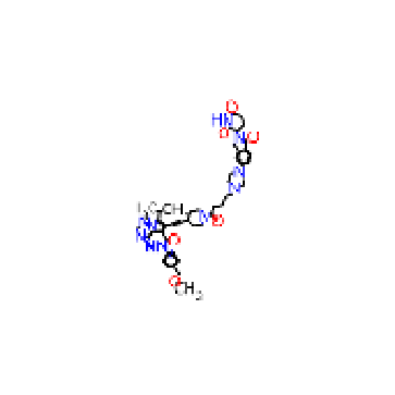 COCc1ccc(NC(=O)c2c(C#CC3CCN(C(=O)CCCCN4CCN(c5ccc6c(c5)CN(C5CCC(=O)NC5=O)C6=O)CC4)CC3)c(C(C)C)n3ncnc(N)c23)cc1